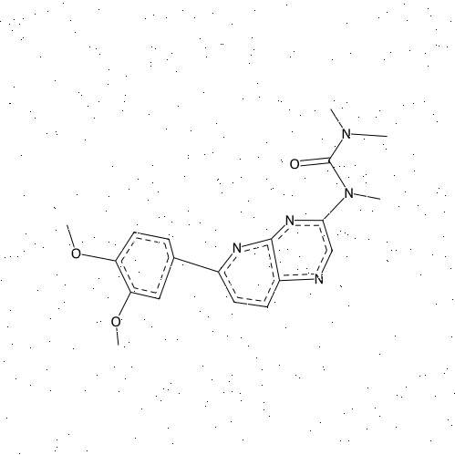 COc1ccc(-c2ccc3ncc(N(C)C(=O)N(C)C)nc3n2)cc1OC